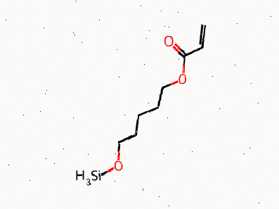 C=CC(=O)OCCCCCO[SiH3]